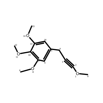 COC#CCc1cc(OC)c(OC)c(OC)c1